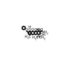 Cc1cc(COC2CCCCC2)c(O)c2c1CC1CC3C(N(C)C)C(O)=C(C(N)=O)C(=O)C3(O)C(O)=C1C2=O